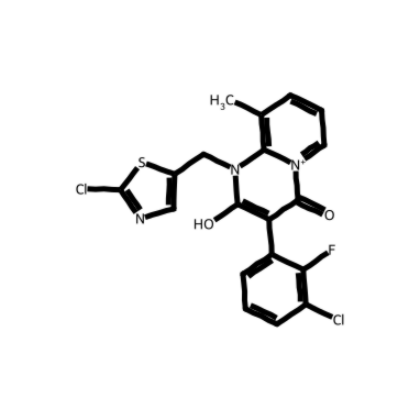 Cc1ccc[n+]2c(=O)c(-c3cccc(Cl)c3F)c(O)n(Cc3cnc(Cl)s3)c12